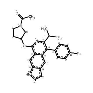 CC(=O)N1CCC(Oc2nc(C(C)C)c(-c3ccc(F)cc3)c3cc4cn[nH]c4cc23)C1